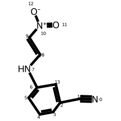 N#Cc1cccc(N/[C]=C/[N+](=O)[O-])c1